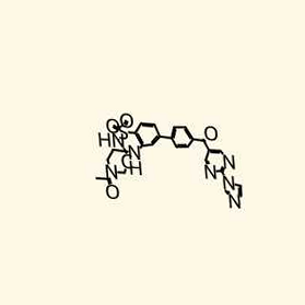 CC(=O)N1CCC2(CC1)Nc1cc(-c3ccc(C(=O)c4cnc(-n5ccnc5)nc4)cc3)ccc1S(=O)(=O)N2